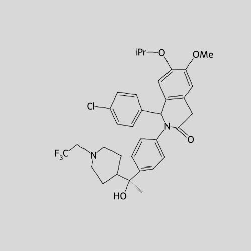 COc1cc2c(cc1OC(C)C)C(c1ccc(Cl)cc1)N(c1ccc([C@@](C)(O)C3CCN(CC(F)(F)F)CC3)cc1)C(=O)C2